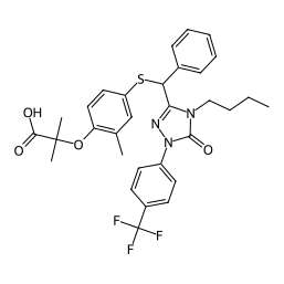 CCCCn1c(C(Sc2ccc(OC(C)(C)C(=O)O)c(C)c2)c2ccccc2)nn(-c2ccc(C(F)(F)F)cc2)c1=O